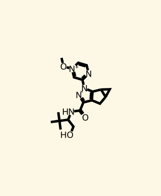 CO[n+]1ccnc(-n2nc(C(=O)NC(CO)C(C)(C)C)c3c2C2CC2C3)c1